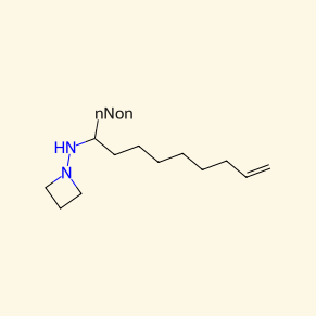 C=CCCCCCCC(CCCCCCCCC)NN1CCC1